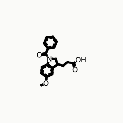 COc1ccc2c(c1)C(CCC(=O)O)CN2C(=O)c1ccccc1